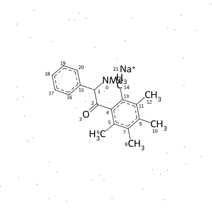 C[N-]C(C(=O)c1c(C)c(C)c(C)c(C)c1C)c1ccccc1.[Na+]